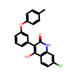 Cc1ccc(Oc2cccc(-c3c(O)c4ccc(Cl)cc4[nH]c3=O)c2)cc1